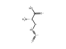 N[C@@H](C[SH]=S=O)C(=O)O